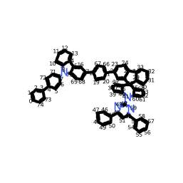 c1ccc(-c2ccc(-n3c4ccccc4c4cc(-c5ccc(-c6ccc7c(c6)C6(c8ccccc8-7)c7ccccc7N(c7nc(-c8ccccc8)cc(-c8ccccc8)n7)c7ccccc76)cc5)ccc43)cc2)cc1